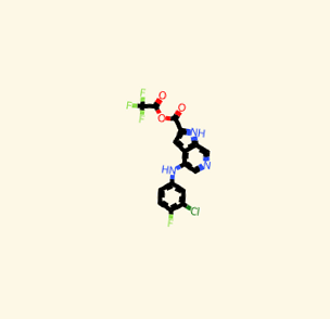 O=C(OC(=O)C(F)(F)F)c1cc2c(Nc3ccc(F)c(Cl)c3)cncc2[nH]1